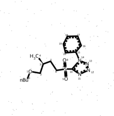 CCCCOC[C@@H](C)CCS(=O)(=O)c1nnnn1-c1ccccc1